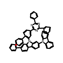 c1ccc(-c2ccc3c4ccc(-n5c6ccccc6c6ccccc65)cc4n(-c4cc(-c5nc(-c6ccccc6)nc(-c6ccccc6)n5)ccc4-c4ccccc4)c3c2)cc1